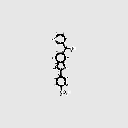 CCCC(c1cccnc1)c1ccc2nc(-c3ccc(C(=O)O)cc3)sc2c1